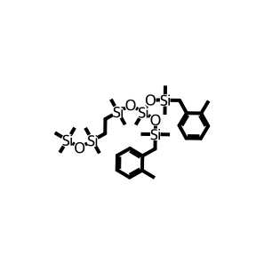 Cc1ccccc1C[Si](C)(C)O[Si](C)(O[Si](C)(C)CC[Si](C)(C)O[Si](C)(C)C)O[Si](C)(C)Cc1ccccc1C